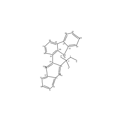 CCC(C)(C)c1nc2ccccc2nc1-c1cccc2c1oc1ccccc12